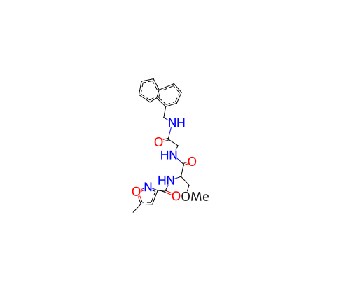 COCC(NC(=O)c1cc(C)on1)C(=O)NCC(=O)NCc1cccc2ccccc12